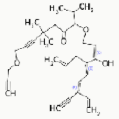 C#CCOCC#CC(C)(C)CC(=O)C(OC\C=C(O)/C(=C/C=C(/C#C)C=C)CC=C)C(C)C